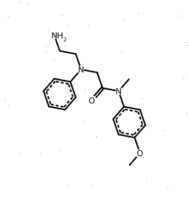 COc1ccc(N(C)C(=O)CN(CCN)c2ccccc2)cc1